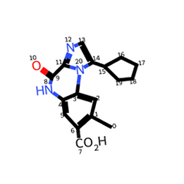 Cc1cc2c(cc1C(=O)O)[nH]c(=O)c1ncc(C3CCCC3)n12